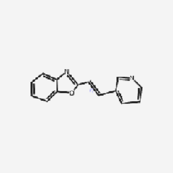 C(=C\c1nc2ccccc2o1)/c1cccnc1